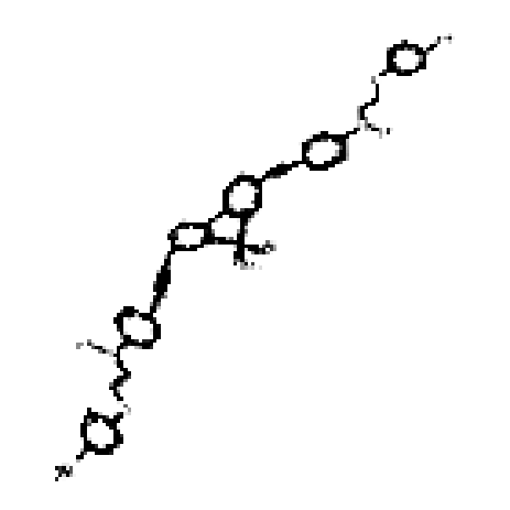 CCCCC1(CCCC)c2cc(C#Cc3ccc(N(CC)CCOc4ccc(O)cc4)cc3)ccc2-c2ccc(C#Cc3ccc(N(CC)CCOc4ccc(C=O)cc4)cc3)cc21